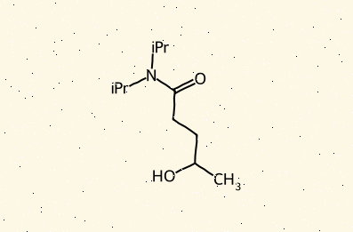 CC(O)CCC(=O)N(C(C)C)C(C)C